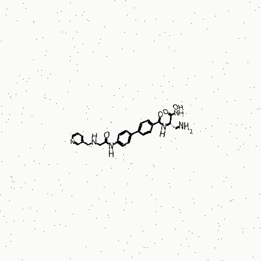 NC[C@H](NC(=O)c1ccc(-c2ccc(NC(=O)CNCc3cccnc3)cc2)cc1)C(=O)NO